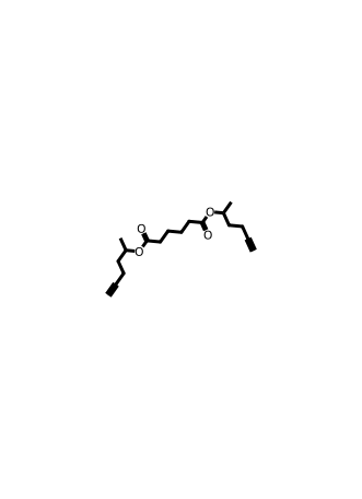 C#CCCC(C)OC(=O)CCCCC(=O)OC(C)CCC#C